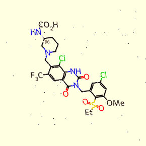 CCS(=O)(=O)c1c(Cn2c(=O)[nH]c3c(Cl)c(CN4CCC[C@@H](NC(=O)O)C4)c(C(F)(F)F)cc3c2=O)cc(Cl)cc1OC